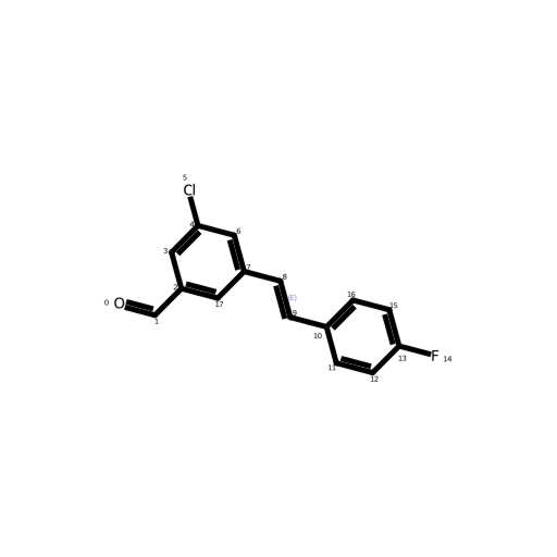 O=Cc1cc(Cl)cc(/C=C/c2ccc(F)cc2)c1